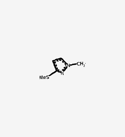 [CH2]n1ccc(SC)n1